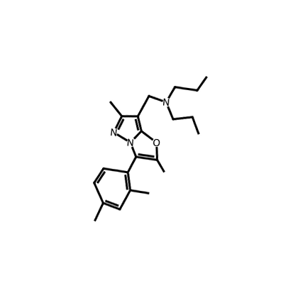 CCCN(CCC)Cc1c(C)nn2c(-c3ccc(C)cc3C)c(C)oc12